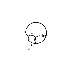 CCCCCCC(=O)O/C1=C\C(C)CCCCCCCCCCCC1